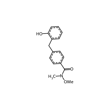 CON(C)C(=O)c1ccc(Cc2ccccc2O)cc1